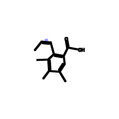 C/C=C\c1c(C(=O)O)cc(C)c(C)c1C